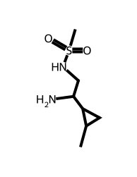 CC1CC1C(N)CNS(C)(=O)=O